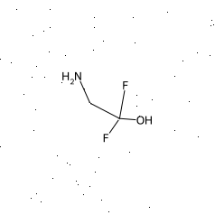 NCC(O)(F)F